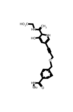 C=C(NCC(=O)O)C1NC=C(C#CCOCc2ccc(C(=O)NC(C)(C)C)cc2)C=C1O